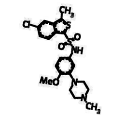 COc1ccc(NS(=O)(=O)c2sc(C)c3cc(Cl)ccc23)cc1N1CCN(C)CC1